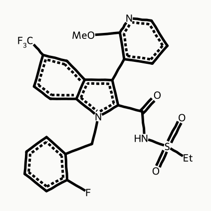 CCS(=O)(=O)NC(=O)c1c(-c2cccnc2OC)c2cc(C(F)(F)F)ccc2n1Cc1ccccc1F